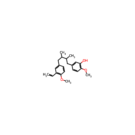 C=Cc1cc(CC(C)C(C)Cc2ccc(OC)c(O)c2)ccc1OC